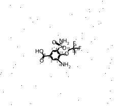 Nc1cc(C(=O)O)cc(S(N)(=O)=O)c1OCC(F)(F)F